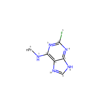 CCCNc1nc(F)nc2[nH]cnc12